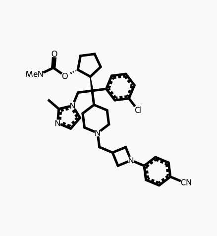 CNC(=O)O[C@@H]1CCC[C@H]1C(Cn1ccnc1C)(c1cccc(Cl)c1)C1CCN(CC2CN(c3ccc(C#N)cc3)C2)CC1